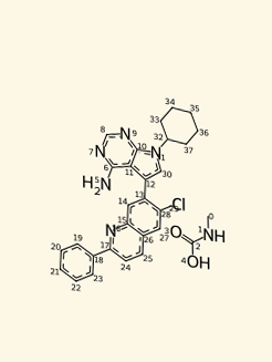 CNC(=O)O.Nc1ncnc2c1c(-c1cc3nc(-c4ccccc4)ccc3cc1Cl)cn2C1CCCCC1